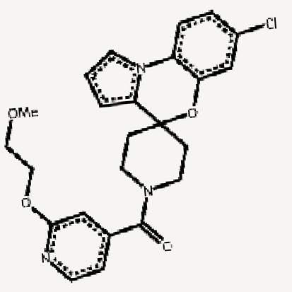 COCCOc1cc(C(=O)N2CCC3(CC2)Oc2cc(Cl)ccc2-n2cccc23)ccn1